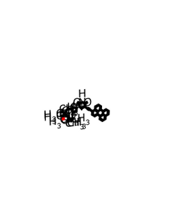 CC(C)[Si]1(C(C)C)OC[C@H]2O[C@@H](n3cc(C#Cc4ccc5c6cccc7cccc(c8cccc4c85)c76)c(=O)[nH]c3=O)CC2O[Si](C(C)C)(C(C)C)O1